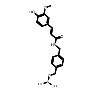 COc1cc(/C=C/C(=O)NCc2ccc(CON(O)O)cc2)ccc1O